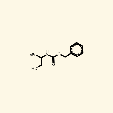 CCCCC(CO)NC(=O)OCc1ccccc1